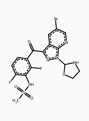 CS(=O)(=O)Nc1c(F)ccc(C(=O)c2nn(C3NCCO3)c3ncc(Br)cc23)c1F